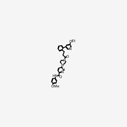 CCOc1cncc(-c2ccccc2CCC(=O)N2CCN(c3ccc(C(=O)Nc4ccc(OC)cc4)nn3)CC2)c1